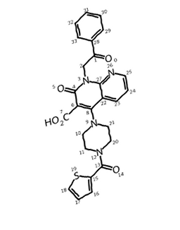 O=C(Cn1c(=O)c(C(=O)O)c(N2CCN(C(=O)c3cccs3)CC2)c2cccnc21)c1ccccc1